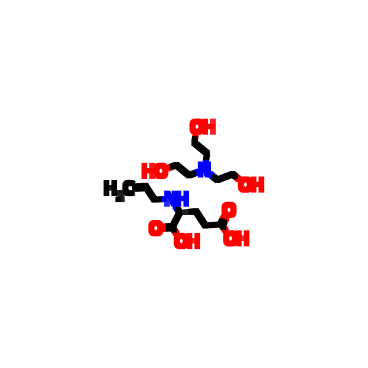 C=CCN[C@@H](CCC(=O)O)C(=O)O.OCCN(CCO)CCO